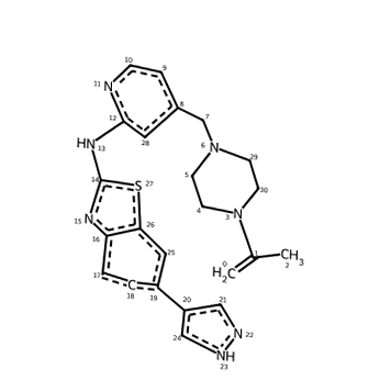 C=C(C)N1CCN(Cc2ccnc(Nc3nc4ccc(-c5cn[nH]c5)cc4s3)c2)CC1